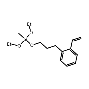 C=Cc1ccccc1CCCO[Si](C)(OCC)OCC